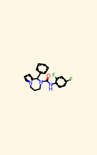 O=C(Nc1ccc(F)cc1F)N1CCCn2cccc2C1c1ccccc1